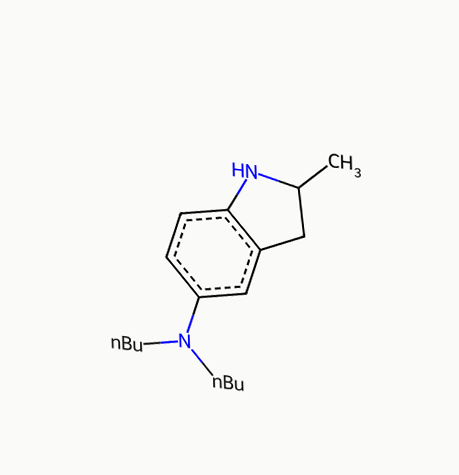 CCCCN(CCCC)c1ccc2c(c1)CC(C)N2